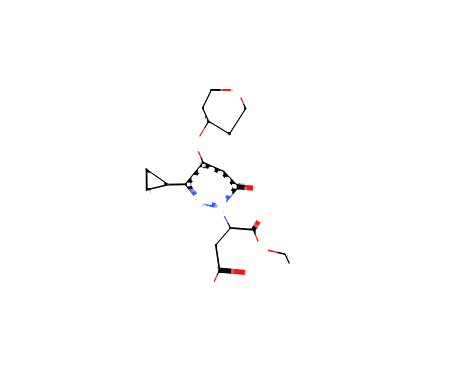 CCOC(=O)C(CC(=O)O)n1nc(C2CC2)c(OC2CCOCC2)cc1=O